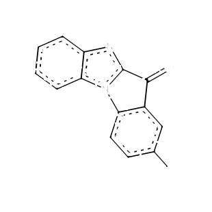 O=C1c2cc(Cl)ccc2-n2c1nc1ccccc12